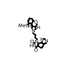 COc1cccc2c1[C@@H]1CN(CCCCn3c(=O)[nH]c(=O)c4ccc5cncnc5c43)C[C@@H]1CO2